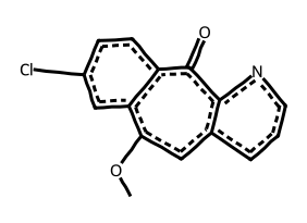 COc1cc2cccnc2c(=O)c2ccc(Cl)cc12